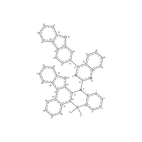 CC1(C)c2ccccc2N(c2nc(-c3ccc4c(c3)oc3ccccc34)c3ccccc3n2)c2c1c1ccccc1c1c2oc2ccccc21